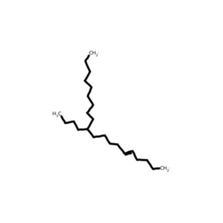 [CH2]CCCC=CCCCCC(CCCC)CCCCCCCC[CH2]